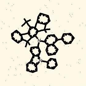 CC(C)(C)c1c2c(c(N(c3ccc4c5ccccc5n(-c5ccccc5)c4c3)c3ccc(-c4ccccc4)c4ccccc34)c3c1-c1ccccc1C3(C)C)C(C)(C)c1ccccc1-2